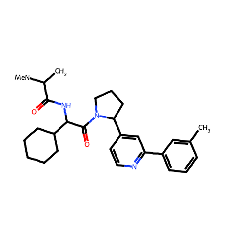 CNC(C)C(=O)NC(C(=O)N1CCCC1c1ccnc(-c2cccc(C)c2)c1)C1CCCCC1